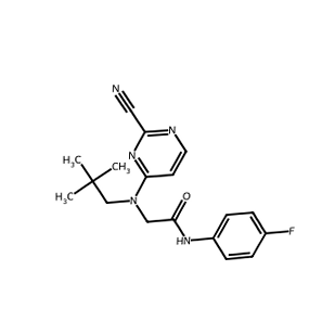 CC(C)(C)CN(CC(=O)Nc1ccc(F)cc1)c1ccnc(C#N)n1